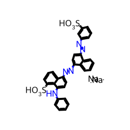 O=S(=O)(O)c1cccc(N=Nc2ccc(N=Nc3ccc(Nc4ccccc4)c4c(S(=O)(=O)O)cccc34)c3ccccc23)c1.[Na].[Na]